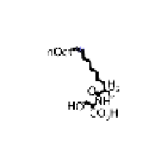 CCCCCCCC/C=C\CCCCCCC(C)C(=O)NC(CO)C(=O)O